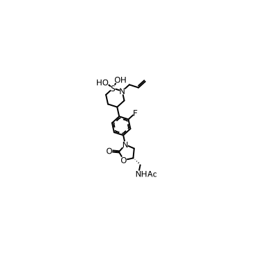 C=CCN1CC(c2ccc(N3C[C@H](CNC(C)=O)OC3=O)cc2F)CCS1(O)O